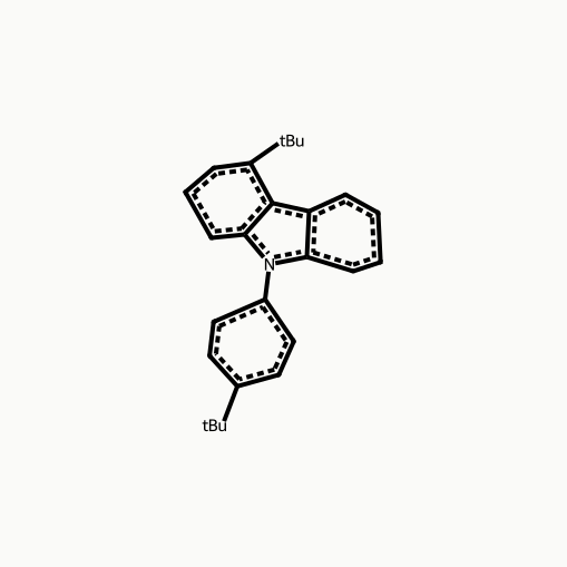 CC(C)(C)c1ccc(-n2c3ccccc3c3c(C(C)(C)C)cccc32)cc1